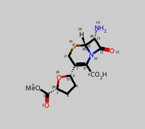 COC(=O)[C@H]1CC[C@@H](C2=C(C(=O)O)N3C(=O)[C@@H](N)[C@H]3SC2)O1